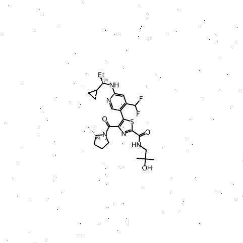 CC[C@@H](Nc1cc(C(F)F)c(-c2sc(C(=O)NCC(C)(C)O)nc2C(=O)N2CCC[C@@H]2C)cn1)C1CC1